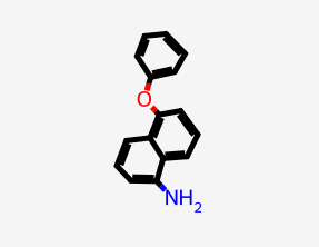 Nc1cccc2c(Oc3ccccc3)cccc12